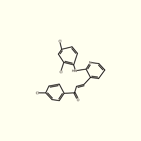 O=C(C=Cc1cccnc1Nc1ccc(Cl)cc1Cl)c1ccc(Cl)cc1